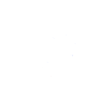 O=C(O)Nc1cccc(Nc2cc(Nc3ccc(Br)cc3F)ncn2)c1